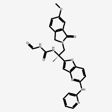 COc1ccc2c(c1)C(=O)N(C[C@](C)(NC(=O)NC=O)c1cc3nc(Nc4ccccn4)ccc3o1)C2